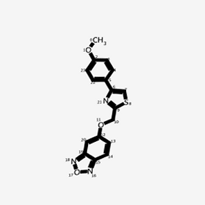 COc1ccc(-c2csc(COc3ccc4nonc4c3)n2)cc1